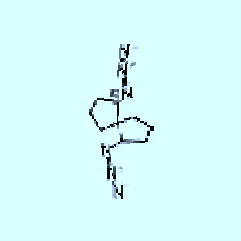 [N-]=[N+]=NC1CCCC12CCC[C@@H]2N=[N+]=[N-]